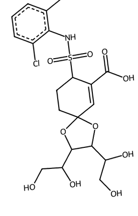 Cc1cccc(Cl)c1NS(=O)(=O)C1CCC2(C=C1C(=O)O)OC(C(O)CO)C(C(O)CO)O2